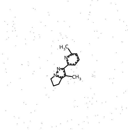 Cc1cccc(-c2nn3c(c2C)CCC3)n1